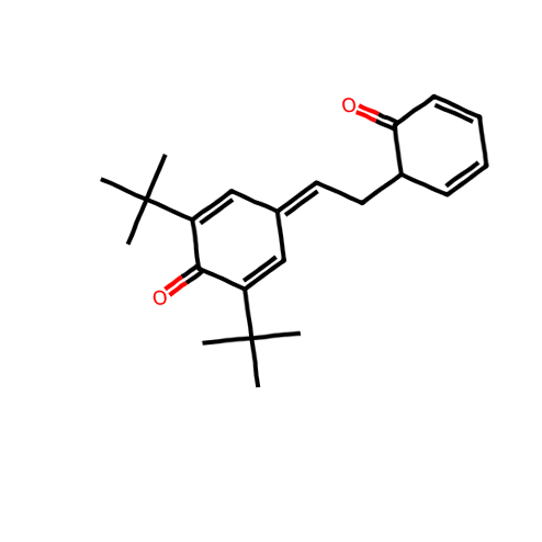 CC(C)(C)C1=CC(=CCC2C=CC=CC2=O)C=C(C(C)(C)C)C1=O